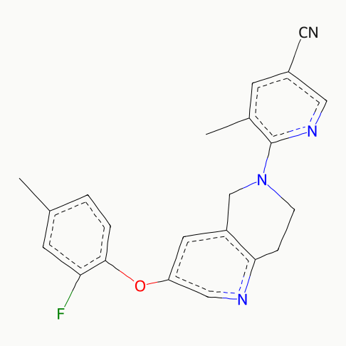 Cc1ccc(Oc2cnc3c(c2)CN(c2ncc(C#N)cc2C)CC3)c(F)c1